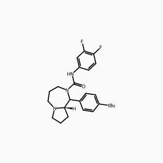 CC(C)(C)c1ccc(C2[C@@H]3CCCN3CCCN2C(=O)Nc2ccc(F)c(F)c2)cc1